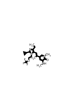 C=Cc1nc(C2CC2)n(CCOC(F)(F)F)c1/C=C(\C)c1cc(NC)c(=O)n(C)c1